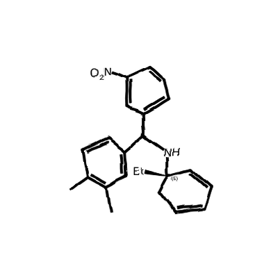 CC[C@@]1(NC(c2cccc([N+](=O)[O-])c2)c2ccc(C)c(C)c2)C=CC=CC1